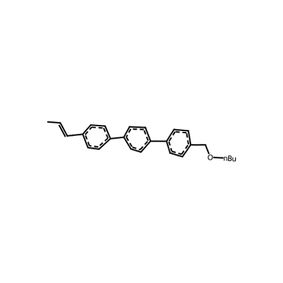 CC=Cc1ccc(-c2ccc(-c3ccc(COCCCC)cc3)cc2)cc1